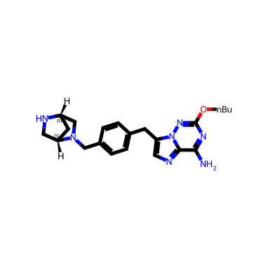 CCCCOc1nc(N)c2ncc(Cc3ccc(CN4C[C@@H]5C[C@H]4CN5)cc3)n2n1